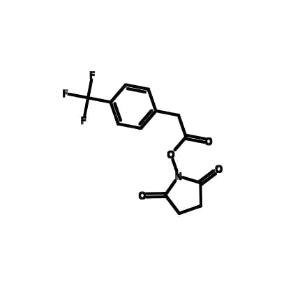 O=C(Cc1ccc(C(F)(F)F)cc1)ON1C(=O)CCC1=O